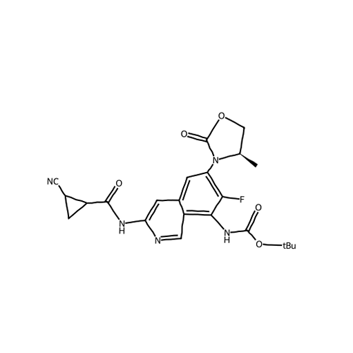 C[C@@H]1COC(=O)N1c1cc2cc(NC(=O)C3CC3C#N)ncc2c(NC(=O)OC(C)(C)C)c1F